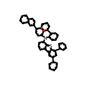 c1ccc(-c2cc(-c3ccccc3)c3sc4c(N(c5ccc(-c6ccc7ccccc7c6)cc5)c5ccccc5-c5ccccc5)cccc4c3c2)cc1